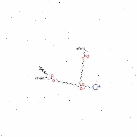 C=C=C=C=CC(CCCCC)CC(=O)OCCCCCCCCCCC1(CCCCCCCCCCOC(=O)CC(C)CCCCC)OCC(CCN2CCN(C)CC2)O1